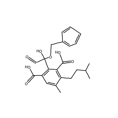 Cc1cc(C(=O)O)c(C(O)(OCc2ccccc2)P=O)c(C(=O)O)c1CCC(C)C